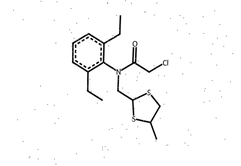 CCc1cccc(CC)c1N(CC1SCC(C)S1)C(=O)CCl